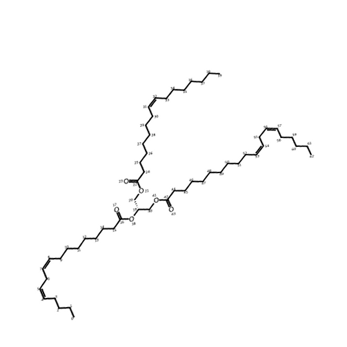 CCCC/C=C\C/C=C\CCCCCCCC(=O)O[C@H](COC(=O)CCCCCCC/C=C\CCCCCCC)COC(=O)CCCCCCCCC/C=C\C/C=C\CCCCC